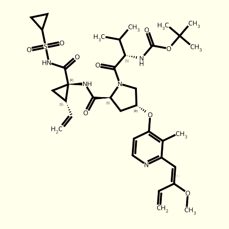 C=C/C(=C\c1nccc(O[C@@H]2C[C@@H](C(=O)N[C@]3(C(=O)NS(=O)(=O)C4CC4)C[C@H]3C=C)N(C(=O)[C@@H](NC(=O)OC(C)(C)C)C(C)C)C2)c1C)OC